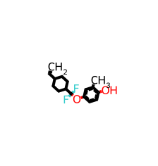 C=CC1CCC(C(F)(F)Oc2ccc(O)c(C)c2)CC1